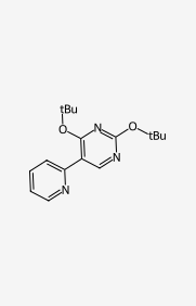 CC(C)(C)Oc1ncc(-c2ccccn2)c(OC(C)(C)C)n1